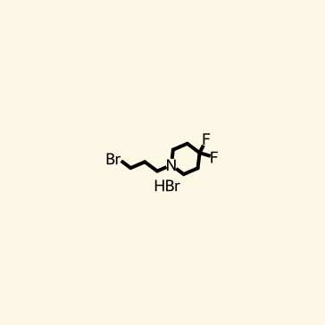 Br.FC1(F)CCN(CCCBr)CC1